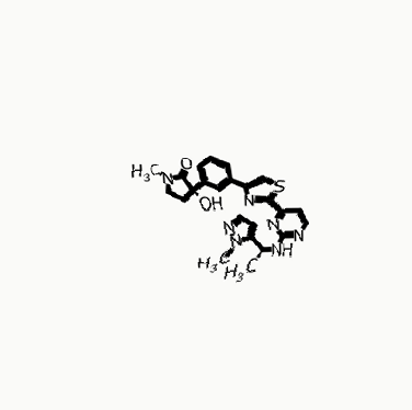 C[C@H](Nc1nccc(-c2nc(-c3cccc([C@]4(O)CCN(C)C4=O)c3)cs2)n1)c1ccnn1C